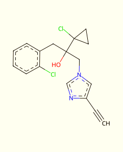 C#Cc1cn(CC(O)(Cc2ccccc2Cl)C2(Cl)CC2)cn1